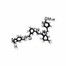 COc1ccc(Cn2nc(/C=C(\C#N)c3cccc(C(=O)NCc4ccc5nn[nH]c5c4)c3)c3ccc(Cl)cc32)cn1